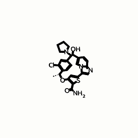 C[C@@H](Oc1cc(-c2cnc3ccc(CO)cn23)sc1C(N)=O)c1ccc(CN2CCCC2)cc1Cl